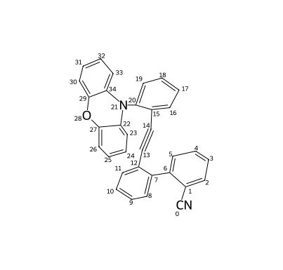 N#Cc1ccccc1-c1ccccc1C#Cc1ccccc1N1c2ccccc2Oc2ccccc21